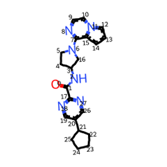 O=C(NC1CCN(c2nccn3cccc23)C1)c1ncc(C2CCCC2)cn1